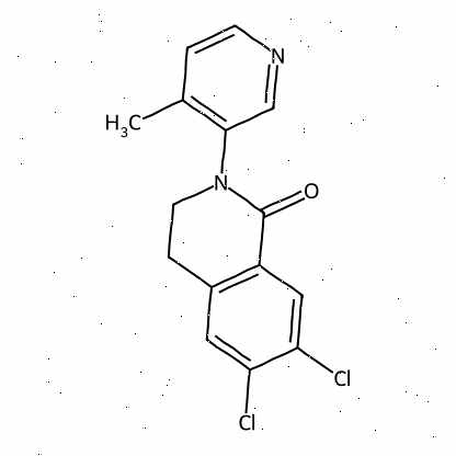 Cc1ccncc1N1CCc2cc(Cl)c(Cl)cc2C1=O